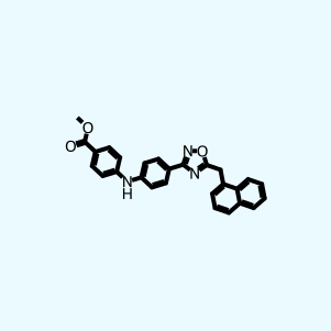 COC(=O)c1ccc(Nc2ccc(-c3noc(Cc4cccc5ccccc45)n3)cc2)cc1